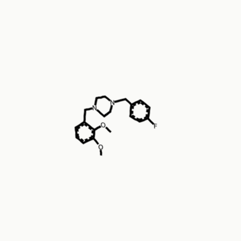 COc1cccc(CN2CCN(Cc3ccc(F)cc3)CC2)c1OC